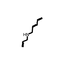 C=C/C=C/CNCC=C